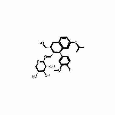 COc1cc([C@@H]2c3cc(OC(C)C)ccc3C[C@H](CO)[C@H]2CO[C@@H]2OC[C@@H](O)[C@H](O)[C@H]2O)ccc1F